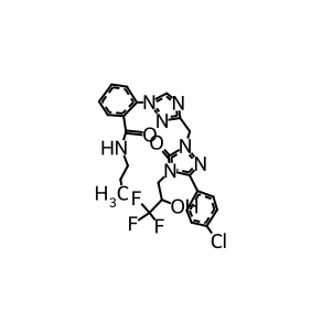 CCCNC(=O)c1ccccc1-n1cnc(Cn2nc(-c3ccc(Cl)cc3)n(CC(O)C(F)(F)F)c2=O)n1